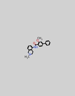 COc1cc(-c2ccccc2)ccc1C(=O)Nc1cccc2c1CCN(C)C2